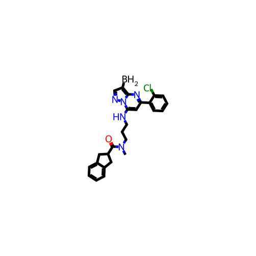 Bc1cnn2c(NCCCN(C)C(=O)C3Cc4ccccc4C3)cc(-c3ccccc3Cl)nc12